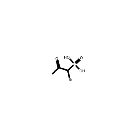 CC(=O)C(Br)P(=O)(O)O